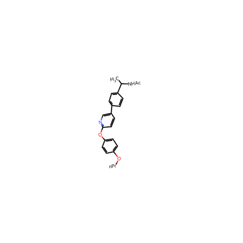 CCCOc1ccc(Oc2ccc(-c3ccc(C(C)NC(C)=O)cc3)cn2)cc1